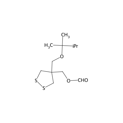 CC(C)C(C)(C)OCC1(COC=O)CSSC1